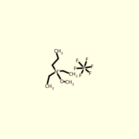 CCC[N+](CC)(CC)OC.F[P-](F)(F)(F)(F)F